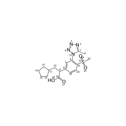 Cc1nnnn1-c1cc(C(CC2CCCC2)C(=O)O)ccc1S(C)(=O)=O